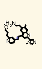 COCCCc1cc(/C=C/c2cc(-c3cncn3C)nc3cc(C)c(CCN)cc23)ccn1